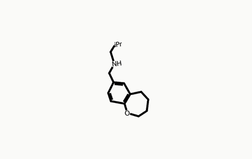 CC(C)CNCc1ccc2c(c1)CCCCO2